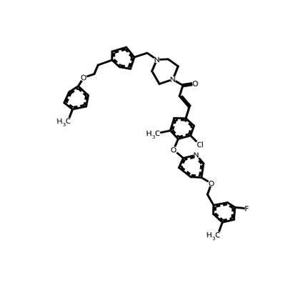 Cc1ccc(OCCc2ccc(CN3CCN(C(=O)/C=C/c4cc(C)c(Oc5ccc(OCc6cc(C)cc(F)c6)cn5)c(Cl)c4)CC3)cc2)cc1